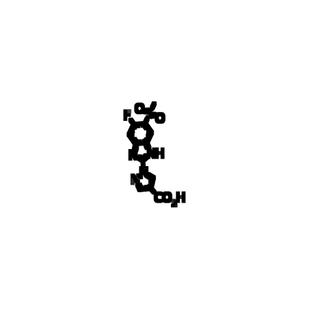 CS(=O)(=O)c1cc2[nH]c(-n3cc(C(=O)O)cn3)nc2cc1F